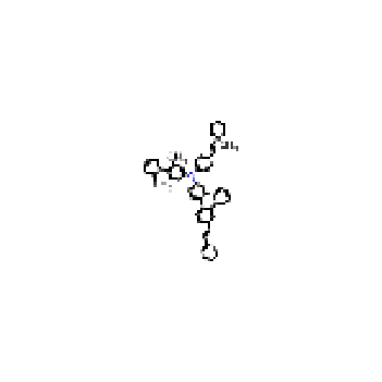 Cc1ccccc1-c1ccc(N(c2ccc(/C=C/C3(C)C=CC=CC3)cc2)c2ccc3c4ccc(/C=C/c5ccccc5)cc4c4ccccc4c3c2)cc1C